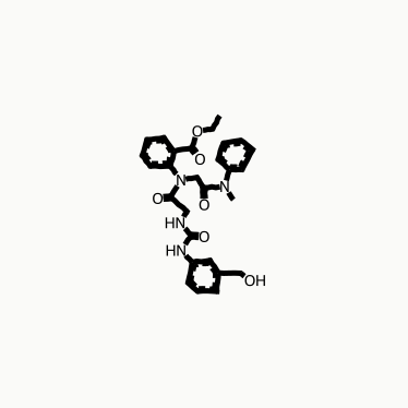 CCOC(=O)c1ccccc1N(CC(=O)N(C)c1ccccc1)C(=O)CNC(=O)Nc1cccc(CO)c1